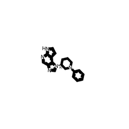 c1ccc(N2CCC[C@@H](n3cnc4cnc5[nH]ccc5c43)C2)cc1